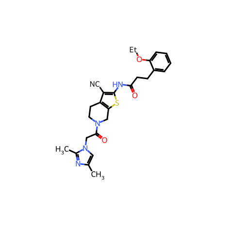 CCOc1ccccc1CCC(=O)Nc1sc2c(c1C#N)CCN(C(=O)Cn1cc(C)nc1C)C2